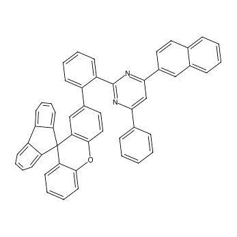 c1ccc(-c2cc(-c3ccc4ccccc4c3)nc(-c3ccccc3-c3ccc4c(c3)C3(c5ccccc5O4)c4ccccc4-c4ccccc43)n2)cc1